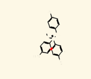 CC(C)[O][Ti](=[O])([O]c1ccc(N)cc1)([c]1ccc(N)cc1)[c]1ccc(N)cc1